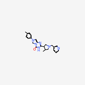 Cc1ccc(N2C=C3N=C(C4CN(Cc5cccnc5)CC4C)NC(=O)N3C2)cc1